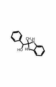 CC1(C(O)c2ccccc2)Nc2ccccc2N1